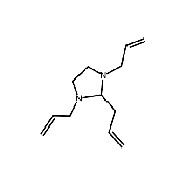 C=CCC1N(CC=C)CCN1CC=C